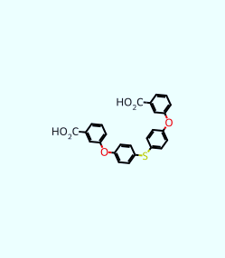 O=C(O)c1cccc(Oc2ccc(Sc3ccc(Oc4cccc(C(=O)O)c4)cc3)cc2)c1